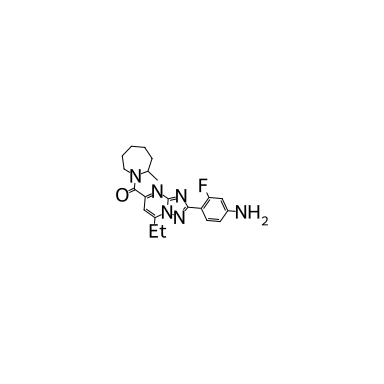 CCc1cc(C(=O)N2CCCCCC2C)nc2nc(-c3ccc(N)cc3F)nn12